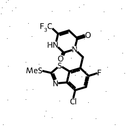 CSc1nc2c(Cl)cc(F)c(Cn3c(=O)cc(C(F)(F)F)[nH]c3=O)c2s1